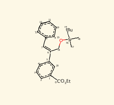 CCOC(=O)c1cccc(/C(=C/c2ccccc2)CO[Si](C)(C)C(C)(C)C)c1